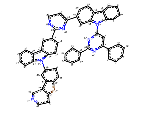 c1ccc(-c2cc(-n3c4ccccc4c4ccc(-c5ccnc(-c6ccc7c(c6)c6ccccc6n7-c6ccc7sc8ccncc8c7c6)n5)cc43)nc(-c3ccccc3)n2)cc1